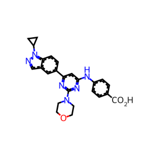 O=C(O)c1ccc(Nc2cc(-c3ccc4c(cnn4C4CC4)c3)nc(N3CCOCC3)n2)cc1